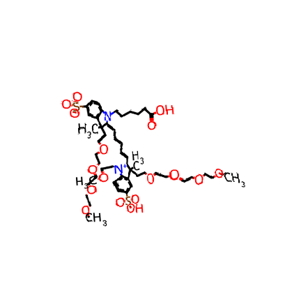 COCCOCCOCCOCCC1(C)C(/C=C/C=C/C=C2/N(CCCCCC(=O)O)c3ccc(S(=O)(=O)[O-])cc3C2(C)CCOCCOCCOCCOC)=[N+](CCOC)c2ccc(S(=O)(=O)O)cc21